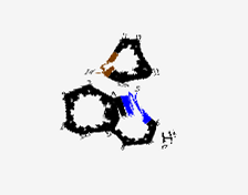 [H+].c1ccc2ncccc2c1.c1ccsc1